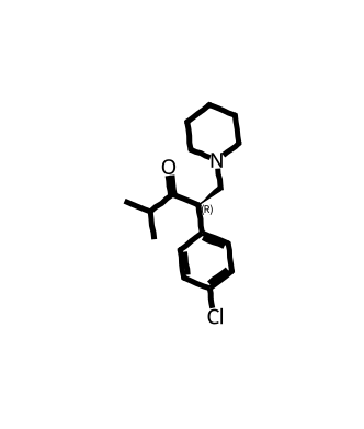 CC(C)C(=O)[C@@H](CN1CCCCC1)c1ccc(Cl)cc1